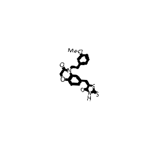 COc1cccc(CCN2C(=O)COc3ccc(/C=C4/SC(=S)NC4=O)cc32)c1